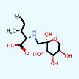 CC[C@H](C)[C@H](NC[C@@]1(O)OC[C@@H](O)[C@@H](O)[C@@H]1O)C(=O)O